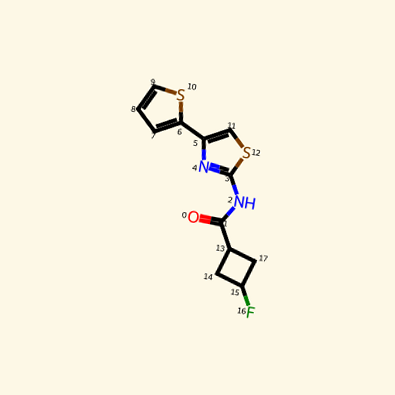 O=C(Nc1nc(-c2cccs2)cs1)C1CC(F)C1